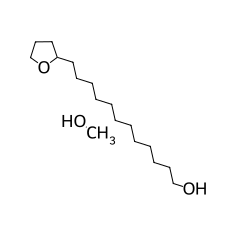 CO.OCCCCCCCCCCCCC1CCCO1